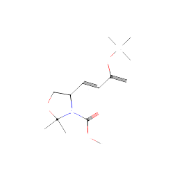 C=C(/C=C/C1COC(C)(C)N1C(=O)OC(C)(C)C)O[Si](C)(C)C